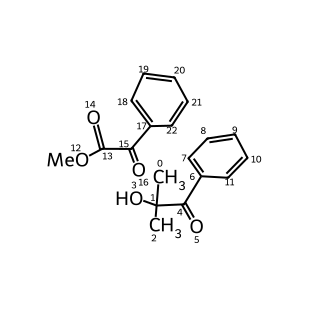 CC(C)(O)C(=O)c1ccccc1.COC(=O)C(=O)c1ccccc1